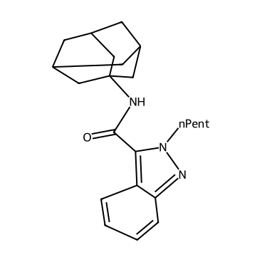 CCCCCn1nc2ccccc2c1C(=O)NC12CC3CC(CC(C3)C1)C2